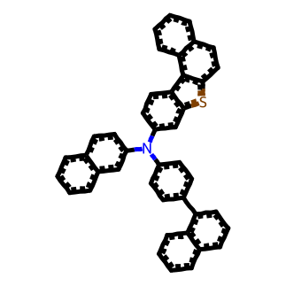 c1ccc2cc(N(c3ccc(-c4cccc5ccccc45)cc3)c3ccc4c(c3)sc3ccc5ccccc5c34)ccc2c1